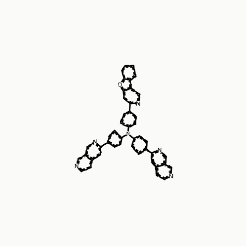 c1ccc2c(c1)oc1cc(-c3ccc(N(c4ccc(-c5cc6ccncc6cn5)cc4)c4ccc(-c5cc6ccncc6cn5)cc4)cc3)ncc12